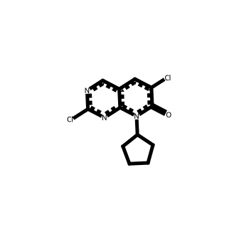 O=c1c(Cl)cc2cnc(Cl)nc2n1C1CCCC1